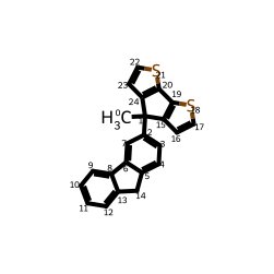 CC1(c2ccc3c(c2)-c2ccccc2C3)c2ccsc2-c2sccc21